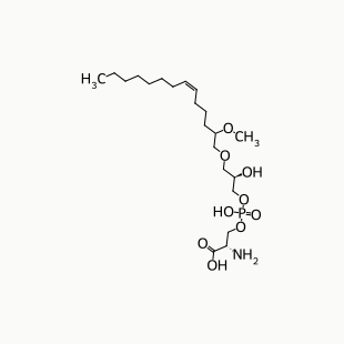 CCCCCCC/C=C\CCCC(COC[C@@H](O)COP(=O)(O)OC[C@H](N)C(=O)O)OC